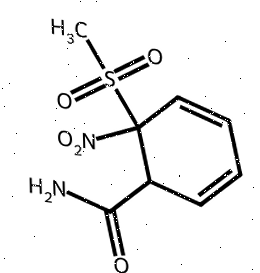 CS(=O)(=O)C1([N+](=O)[O-])C=CC=CC1C(N)=O